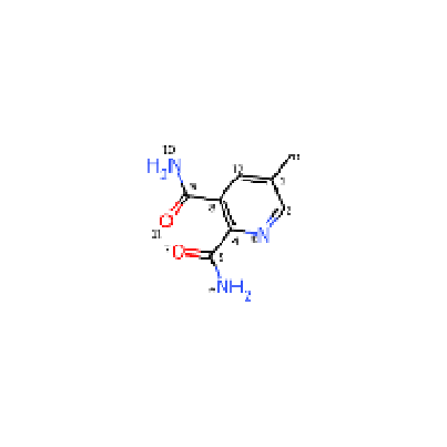 Cc1cnc(C(N)=O)c(C(N)=O)c1